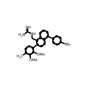 COc1c(C)ccc(-c2ccc3c(-c4ccc(C(C)(C)C)cc4)cccc3c2CNC(=N)N)c1OC